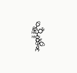 O=C(N1CC(F)(F)C1)C1(c2ccc3[nH]c([C@@H](Nc4noc(C5CCOCC5)n4)C4CCC(F)(F)CC4)nc3c2F)CCOCC1